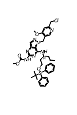 CCC[C@@H](CCO[Si](c1ccccc1)(c1ccccc1)C(C)(C)C)Nc1nc(NC(=O)OC)nc2cnn(Cc3cnc(CCl)cc3OC)c12